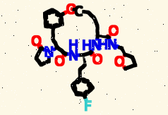 O=C(NC[C@H]1CCCO1)[C@@H]1CCCCOc2cccc(c2)C[C@H](N2CCCC2=O)C(=O)N[C@@H](CCc2ccc(F)cc2)C(=O)N1